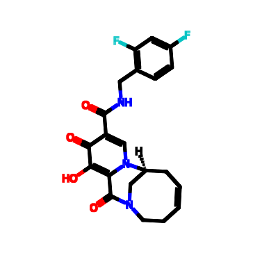 O=C(NCc1ccc(F)cc1F)c1cn2c(c(O)c1=O)C(=O)N1CCC=CC[C@H]2C1